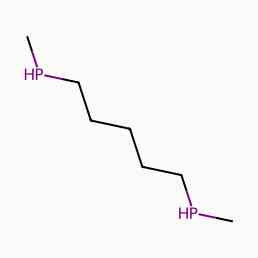 CPCCCCCPC